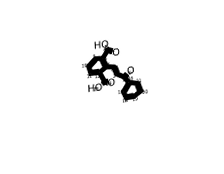 O=C(/C=C/c1c(C(=O)O)cccc1C(=O)O)c1ccccc1